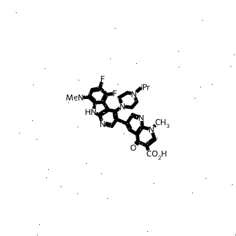 CNc1cc(F)c(F)c2c1[nH]c1ncc(-c3cnc4c(c3)c(=O)c(C(=O)O)cn4C)c(N3CCN(C(C)C)CC3)c12